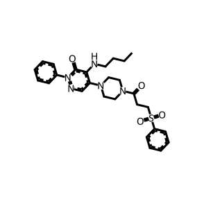 CCCCNc1c(N2CCN(C(=O)CCS(=O)(=O)c3ccccc3)CC2)cnn(-c2ccccc2)c1=O